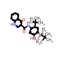 CC(C)(C)c1cc([Si](C)(C)C(C)(C)C)c(O)cc1NC(=O)c1c[nH]c2ccccc2c1=O